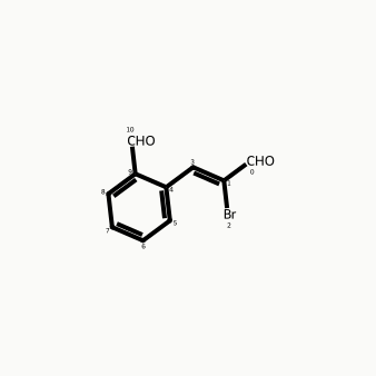 O=CC(Br)=Cc1ccccc1C=O